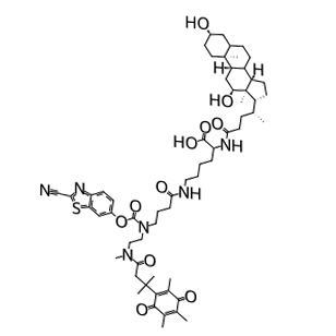 CC1=C(C)C(=O)C(C(C)(C)CC(=O)N(C)CCN(CCCC(=O)NCCCCC(NC(=O)CC[C@@H](C)[C@H]2CC[C@H]3C4CCC5C[C@H](O)CC[C@]5(C)[C@H]4C[C@H](O)[C@]23C)C(=O)O)C(=O)Oc2ccc3nc(C#N)sc3c2)=C(C)C1=O